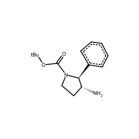 CC(C)(C)OC(=O)N1CC[C@@H](N)[C@@H]1c1ccccc1